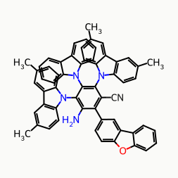 Cc1ccc2c(c1)c1cc(C)ccc1n2-c1c(N)c(-c2ccc3oc4ccccc4c3c2)c(C#N)c(-n2c3ccc(C)cc3c3cc(C)ccc32)c1-n1c2ccccc2c2ccccc21